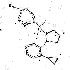 CC(C)(c1ccc(Br)cc1)N1CCCC1c1ccccc1C1CC1